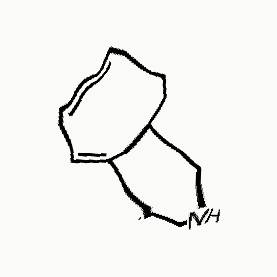 [CH]1NCC2CC=CC=C12